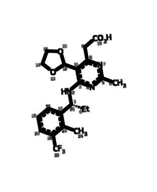 CC[C@@H](Nc1nc(C)nc(CC(=O)O)c1C1OCCO1)c1cccc(C(F)(F)F)c1C